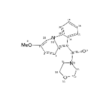 COc1ccc2c(C(=O)N3CCOCC3)c3ccccc3n2c1